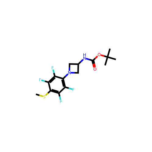 CSc1c(F)c(F)c(N2CC(NC(=O)OC(C)(C)C)C2)c(F)c1F